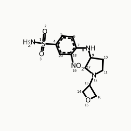 NS(=O)(=O)c1ccc(NC2CCN(C3COC3)C2)c([N+](=O)[O-])c1